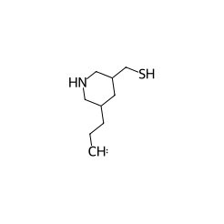 [CH]CCC1CNCC(CS)C1